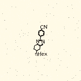 CCCCCCC1CCc2nc(-c3ccc(C#N)cc3)ncc2C1